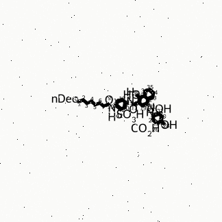 CCCCCCCCCCCCCCCCCC(=O)Nc1ccc(NC(=O)c2cc(/N=N/c3cc(C(=O)O)c(O)cc3O)c3ccccc3c2O)cc1S(=O)(=O)O